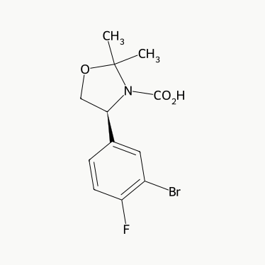 CC1(C)OC[C@H](c2ccc(F)c(Br)c2)N1C(=O)O